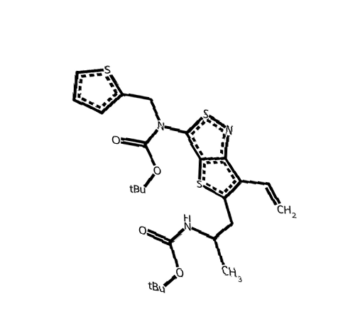 C=Cc1c(CC(C)NC(=O)OC(C)(C)C)sc2c(N(Cc3cccs3)C(=O)OC(C)(C)C)snc12